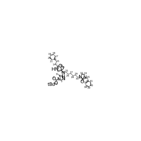 CC(C)(C)OC(=O)n1cncc1C[C@H](NC(=O)[CH]Cc1ccccc1)C(=O)NCCCCCCn1ccn(Cc2ccccc2)c1=O